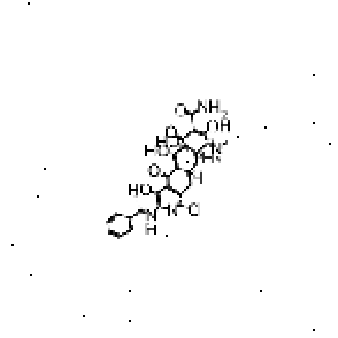 C[C@H](Nc1nc(Cl)c2c(c1O)C(=O)C1=C(O)[C@]3(O)C(=O)C(C(N)=O)=C(O)[C@@H](N(C)C)[C@@H]3C[C@@H]1C2)c1ccccc1